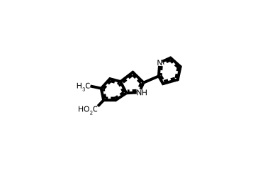 Cc1cc2cc(-c3ccccn3)[nH]c2cc1C(=O)O